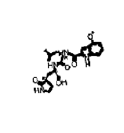 COc1cccc2[nH]c(C(=O)N[C@H](CC(C)C)C(=O)N[C@@H](CO)C[C@H]3CCNC3=O)cc12